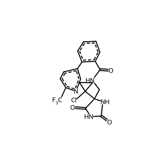 O=C1NC(=O)C(CNC(=O)c2ccccc2-c2ccc(C(F)(F)F)nc2)(C2(Cl)CC2)N1